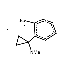 CNC1(c2ccccc2C(C)(C)C)CC1